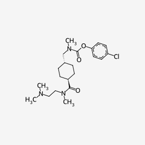 CN(C)CCN(C)C(=O)[C@H]1CC[C@H](CN(C)C(=O)Oc2ccc(Cl)cc2)CC1